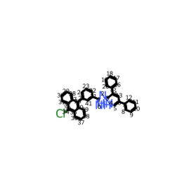 N=C(/N=c1\[nH]cc(-c2ccccc2)cc1-c1ccccc1)c1cccc(-c2c3ccccc3c(Cl)c3ccccc23)c1